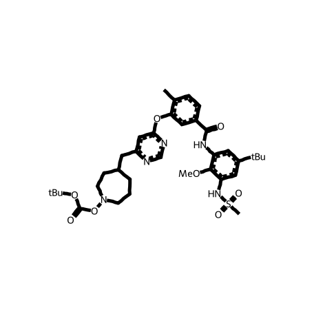 COc1c(NC(=O)c2ccc(C)c(Oc3cc(CC4CCCN(OC(=O)OC(C)(C)C)CC4)ncn3)c2)cc(C(C)(C)C)cc1NS(C)(=O)=O